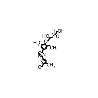 CCc1cc(-c2nc(-c3cc(C)c(C=O)s3)no2)cc(C)c1OC[C@@H](O)CNC(=O)CO